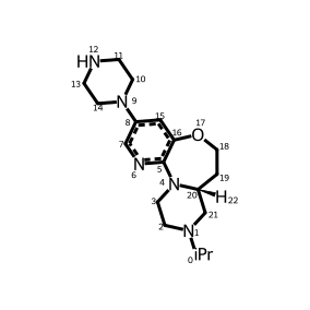 CC(C)N1CCN2c3ncc(N4CCNCC4)cc3OCC[C@@H]2C1